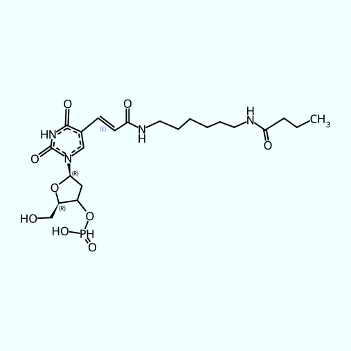 CCCC(=O)NCCCCCCNC(=O)/C=C/c1cn([C@H]2CC(O[PH](=O)O)[C@@H](CO)O2)c(=O)[nH]c1=O